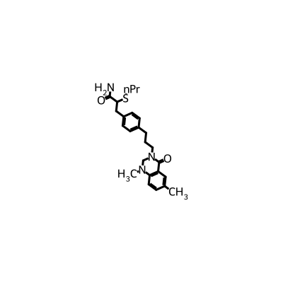 CCCSC(Cc1ccc(CCCN2CN(C)c3ccc(C)cc3C2=O)cc1)C(N)=O